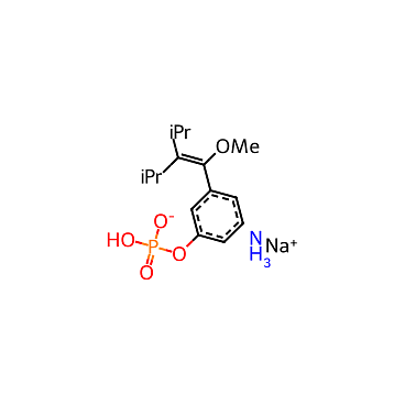 COC(=C(C(C)C)C(C)C)c1cccc(OP(=O)([O-])O)c1.N.[Na+]